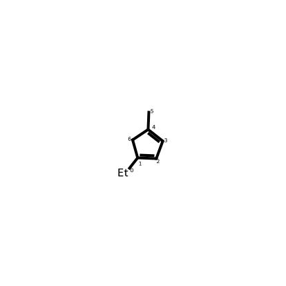 CCC1=CC=C(C)C1